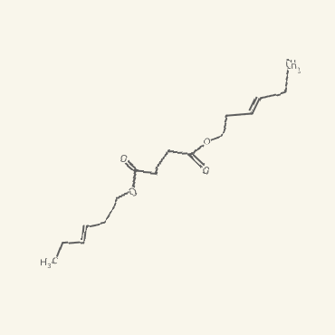 CCC=CCCOC(=O)CCC(=O)OCCC=CCC